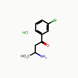 Cl.NC(CC(=O)c1cccc(Br)c1)C(=O)O